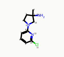 CC1(N)CCN(c2cccc(Cl)n2)C1